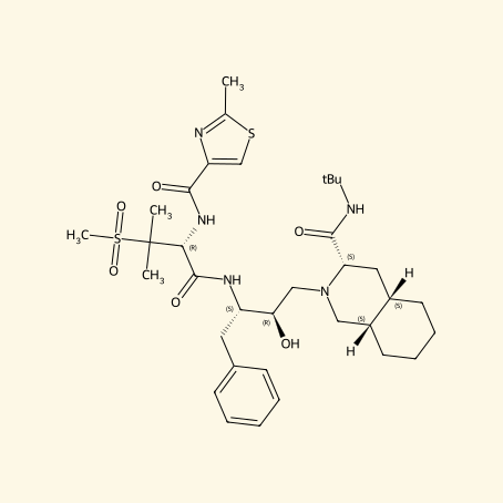 Cc1nc(C(=O)N[C@H](C(=O)N[C@@H](Cc2ccccc2)[C@H](O)CN2C[C@H]3CCCC[C@H]3C[C@H]2C(=O)NC(C)(C)C)C(C)(C)S(C)(=O)=O)cs1